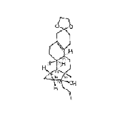 C=CC[C@]1(O)[C@@H]2C[C@@H]2[C@H]2[C@@H]3CCC4=C(CCC5(C4)OCCO5)[C@H]3CC[C@@]21C